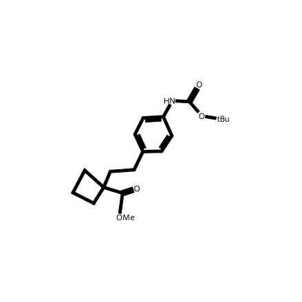 COC(=O)C1(CCc2ccc(NC(=O)OC(C)(C)C)cc2)CCC1